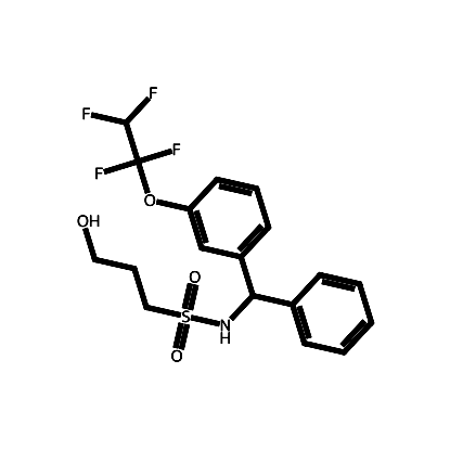 O=S(=O)(CCCO)NC(c1ccccc1)c1cccc(OC(F)(F)C(F)F)c1